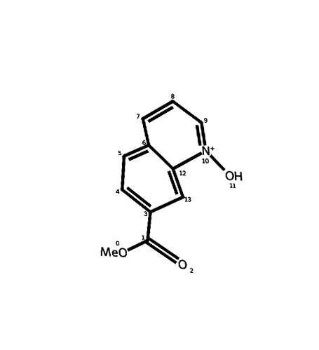 COC(=O)c1ccc2ccc[n+](O)c2c1